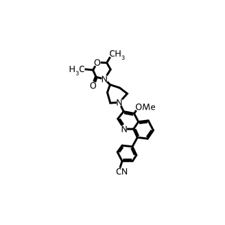 COc1c(N2CCC(N3CC(C)OC(C)C3=O)CC2)cnc2c(-c3ccc(C#N)cc3)cccc12